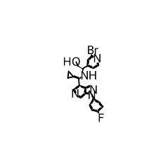 OC[C@H](NC(=C1CC1)c1cncc2c1cnn2-c1ccc(F)cc1)c1ccnc(Br)c1